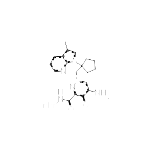 CCCNC(=O)c1nn(CC2(n3cc(C)c4cccnc43)CCCC2)cc(N)c1=O